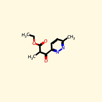 CCOC(=O)C(C)C(=O)c1ccc(C)nn1